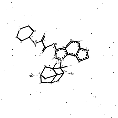 O=C(Nc1nn([C@H]2[C@@H]3CC4C[C@H]2C[C@@](O)(C4)C3)c2c1cnc1[nH]ccc12)C(=O)NC1CCOCC1